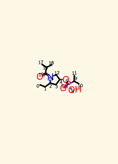 CCC1CC(OP(=O)(O)C(C)C)CN1C(=O)C(C)C